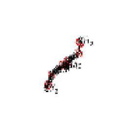 C=CC(=O)OCCCCOC(=O)C1CCC(C2CCC(C(=O)Oc3ccc(OC(=O)C4CCC(C5CCC(C(=O)OCCCCOC(=O)C=C)CC5)CC4)c4c(OC(C)=O)ccc(OC(C)=O)c34)CC2)CC1